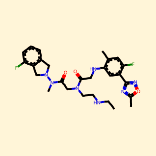 CCNCCN(CC(=O)N(C)N1Cc2cccc(F)c2C1)C(=O)CNc1cc(-c2noc(C)n2)c(F)cc1C